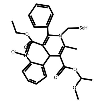 CCOC(=O)C1=C(c2ccccc2)N(C[SeH])C(C)=C(C(=O)OC(C)OC)C1c1ccccc1[N+](=O)[O-]